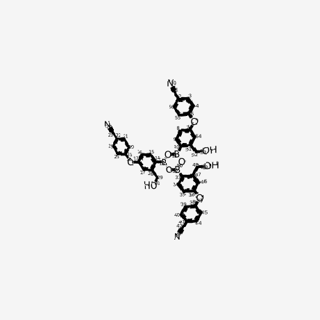 N#Cc1ccc(Oc2ccc(B3OB(c4ccc(Oc5ccc(C#N)cc5)cc4CO)OB(c4ccc(Oc5ccc(C#N)cc5)cc4CO)O3)c(CO)c2)cc1